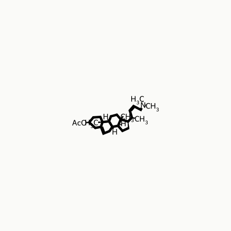 CC(=O)O[C@H]1CC[C@@]2(C)C(=CC[C@H]3[C@@H]4CC[C@H]([C@H](C)/C=C\CN(C)C)[C@@]4(C)CC[C@@H]32)C1